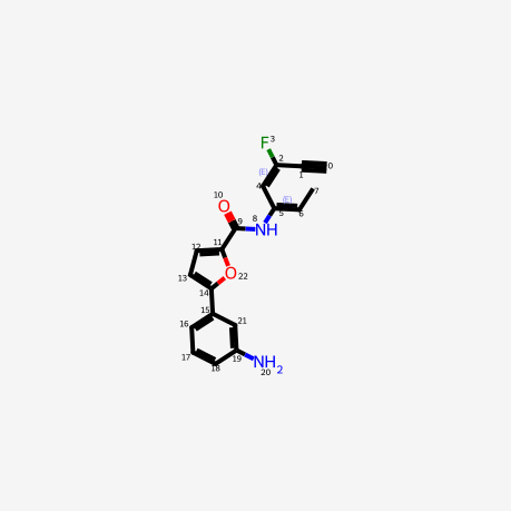 C#C/C(F)=C\C(=C/C)NC(=O)c1ccc(-c2cccc(N)c2)o1